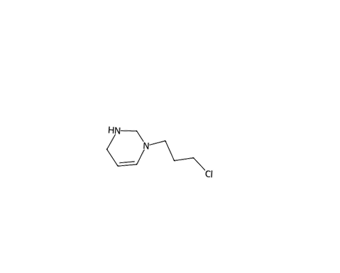 ClCCCN1C=CCNC1